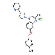 Cc1cc(N2CC[C@@H](c3ccccn3)C2)c2ccc(OCc3ccc(C#N)cc3)cc2n1.Cl